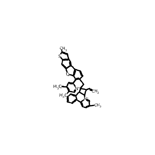 C=CC1C2C(c3ccccc3-c3ccc(C)c[n+]32)C12Cc1ccc3c(oc4cc5sc(C)cc5cc43)c1-c1cc(C)c(C)c[n+]12